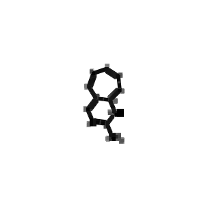 NC1=NC=C2C=CC=CC=C2N1